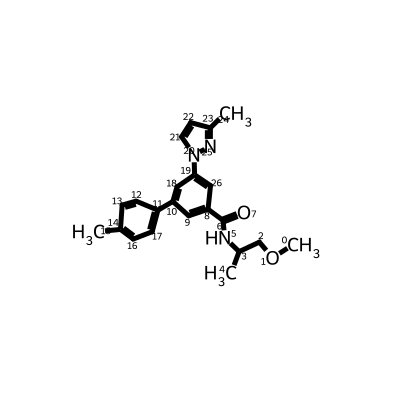 COCC(C)NC(=O)c1cc(-c2ccc(C)cc2)cc(-n2ccc(C)n2)c1